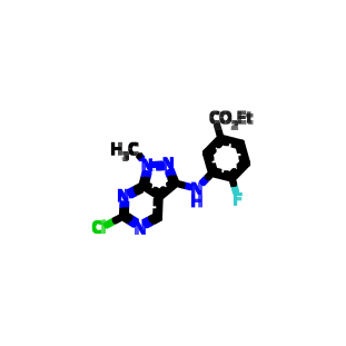 CCOC(=O)c1ccc(F)c(Nc2nn(C)c3nc(Cl)ncc23)c1